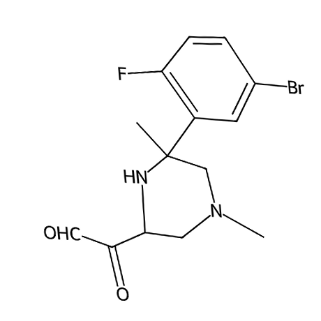 CN1CC(C(=O)C=O)NC(C)(c2cc(Br)ccc2F)C1